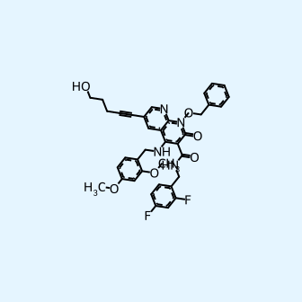 COc1ccc(CNc2c(C(=O)NCc3ccc(F)cc3F)c(=O)n(OCc3ccccc3)c3ncc(C#CCCCO)cc23)c(OC)c1